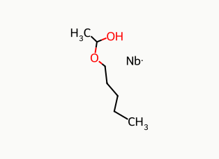 CCCCCOC(C)O.[Nb]